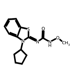 CONC(=O)N=c1sc2ccccc2n1C1CCCC1